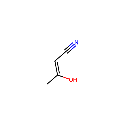 C/C(O)=C/C#N